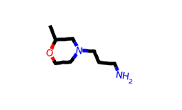 CC1CN(CCCN)CCO1